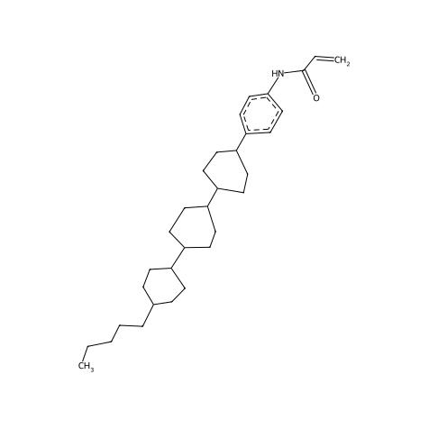 C=CC(=O)Nc1ccc(C2CCC(C3CCC(C4CCC(CCCCC)CC4)CC3)CC2)cc1